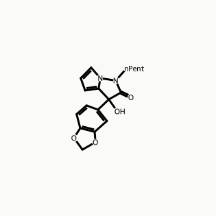 CCCCCN1C(=O)C(O)(c2ccc3c(c2)OCO3)c2cccn21